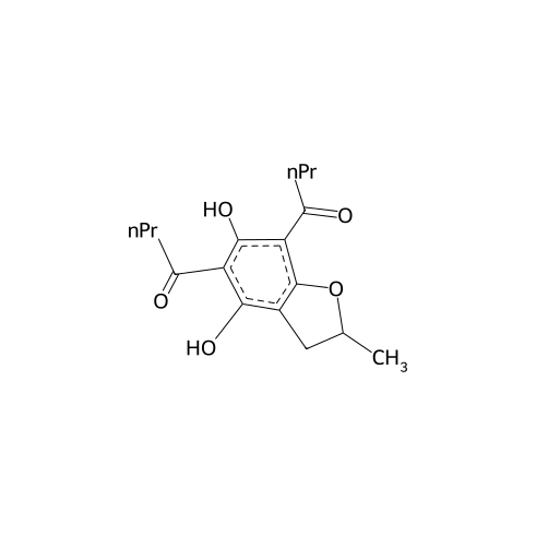 CCCC(=O)c1c(O)c2c(c(C(=O)CCC)c1O)OC(C)C2